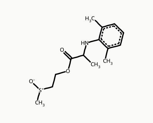 Cc1cccc(C)c1NC(C)C(=O)OCC[S+](C)[O-]